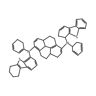 C1=CCCC(N(C2=C3CCC4CC=C(N(C5C=CC=CC5)C5CC=Cc6c5sc5ccccc65)C5=C4C3C(C=C2)CC5)c2cccc3c4c(sc23)CCCC4)=C1